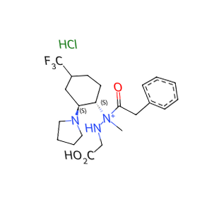 C[N+](NCC(=O)O)(C(=O)Cc1ccccc1)[C@H]1CCC(C(F)(F)F)C[C@@H]1N1CCCC1.Cl